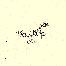 CCS(=O)(=O)c1ccc([C@H](COC(N)=O)NC(=O)c2ccc(N3C[C@@H](Oc4ccc(Cl)cn4)C[C@H]3COC(F)F)nc2)cc1